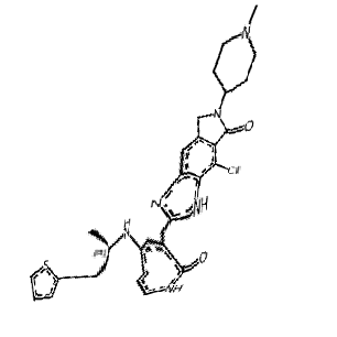 C[C@H](Cc1cccs1)Nc1cc[nH]c(=O)c1-c1nc2cc3c(c(Cl)c2[nH]1)C(=O)N(C1CCN(C)CC1)C3